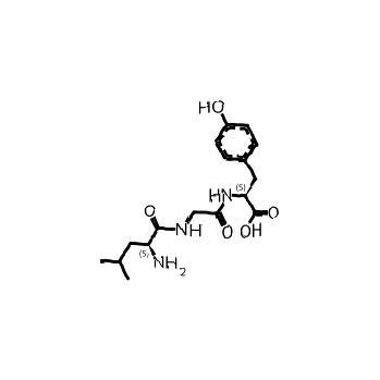 CC(C)C[C@H](N)C(=O)NCC(=O)N[C@@H](Cc1ccc(O)cc1)C(=O)O